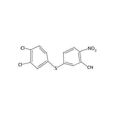 N#Cc1cc(Sc2ccc(Cl)c(Cl)c2)ccc1[N+](=O)[O-]